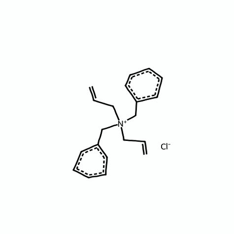 C=CC[N+](CC=C)(Cc1ccccc1)Cc1ccccc1.[Cl-]